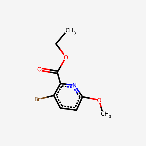 CCOC(=O)c1nc(OC)ccc1Br